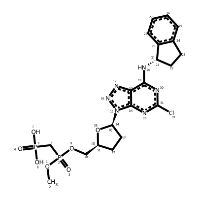 COP(=O)(CP(=O)(O)O)OC[C@@H]1CC[C@H](n2nnc3c(N[C@H]4CCc5ccccc54)nc(Cl)nc32)O1